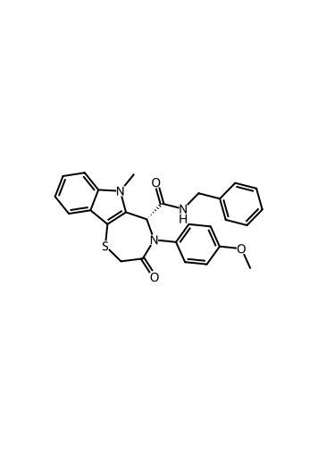 COc1ccc(N2C(=O)CSc3c(n(C)c4ccccc34)[C@@H]2C(=O)NCc2ccccc2)cc1